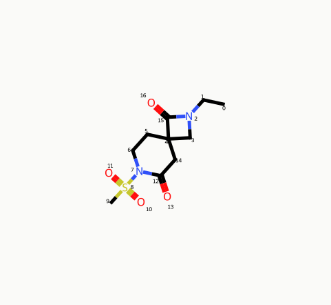 CCN1CC2(CCN(S(C)(=O)=O)C(=O)C2)C1=O